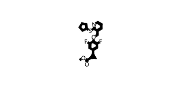 COC(=O)C1CC1c1cc(F)c(OCc2cccnc2SC2CCCC2)c(F)c1